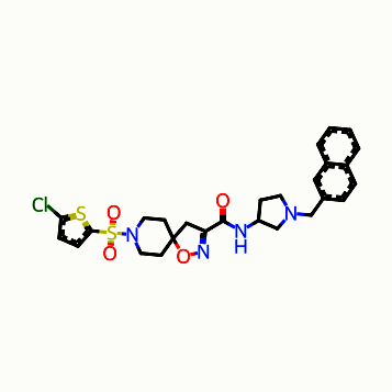 O=C(NC1CCN(Cc2ccc3ccccc3c2)C1)C1=NOC2(CCN(S(=O)(=O)c3ccc(Cl)s3)CC2)C1